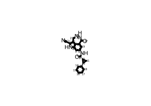 N#Cc1[nH]c2cc(NC(=O)[C@@H]3C[C@H]3c3ccccc3)cc3c2c1C=NNC3=O